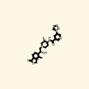 Cc1c([C@@H](O)CN2CC[C@H](NC(=O)c3cncc(-n4cnnn4)c3)[C@H](F)C2)ccc2c1COC2=O